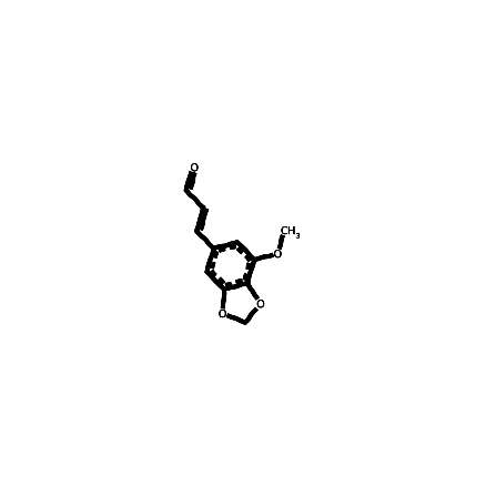 COc1cc(C=CC=O)cc2c1OCO2